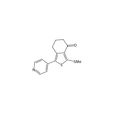 CSc1sc(-c2ccncc2)c2c1C(=O)CCC2